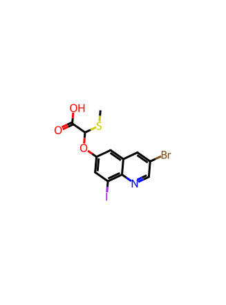 CSC(Oc1cc(I)c2ncc(Br)cc2c1)C(=O)O